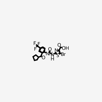 O=C(Nc1nc(C(=O)O)c(Br)s1)Nc1ccc(C(F)(F)F)cc1C(=O)C1CCCC1